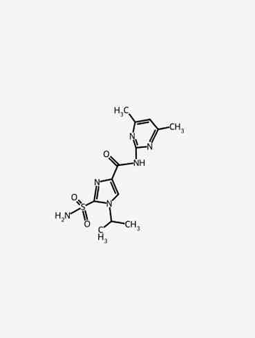 Cc1cc(C)nc(NC(=O)c2cn(C(C)C)c(S(N)(=O)=O)n2)n1